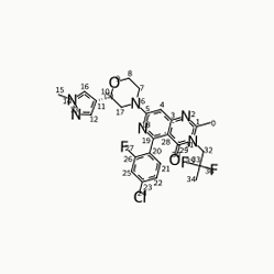 Cc1nc2cc(N3CCO[C@@H](c4cnn(C)c4)C3)nc(-c3ccc(Cl)cc3F)c2c(=O)n1CC(C)(F)F